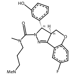 CNCCCN(C)C(=O)N1N=C2c3cc(F)ccc3OC[C@@H]2[C@H]1c1cccc(O)c1